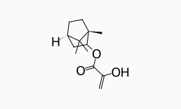 C=C(O)C(=O)OC1C[C@H]2CC[C@@]1(C)C2(C)C